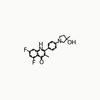 Cc1c(-c2ccc(N3CCC(C)(O)C3)cc2)[nH]c2cc(F)cc(F)c2c1=O